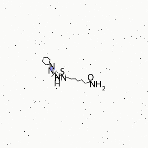 CC(C)(/N=N/C1CCCCC1)NC(=S)NCCCCCCC(N)=O